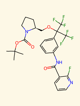 CC(C)(C)OC(=O)N1CCC[C@H]1COC(c1cccc(NC(=O)c2cccnc2F)c1)(C(F)(F)F)C(F)(F)F